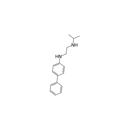 CC(C)NCCNc1ccc(-c2ccccc2)cc1